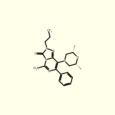 C[C@@H]1CN(c2c(-c3ccccc3)nc(N)n3c(=O)n(CCC(F)(F)F)nc23)C[C@H](C)O1